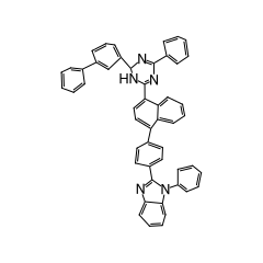 c1ccc(C2=NC(c3cccc(-c4ccccc4)c3)NC(c3ccc(-c4ccc(-c5nc6ccccc6n5-c5ccccc5)cc4)c4ccccc34)=N2)cc1